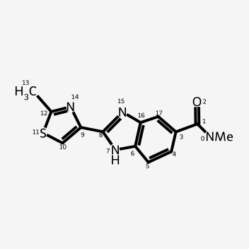 CNC(=O)c1ccc2[nH]c(-c3csc(C)n3)nc2c1